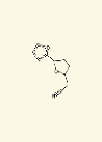 N#CCC1CCC(c2ccco2)O1